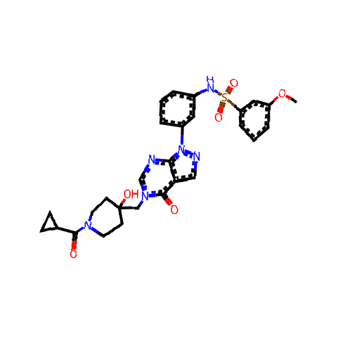 COc1cccc(S(=O)(=O)Nc2cccc(-n3ncc4c(=O)n(CC5(O)CCN(C(=O)C6CC6)CC5)cnc43)c2)c1